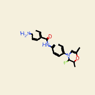 C=C(/C=C\C(=C/C)N1CC(C)OC(C)C1F)NC(=O)C(/C=C\CN)=C/C